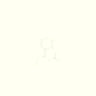 CC(C)c1ccc2oc(=O)cc(CCl)c2c1